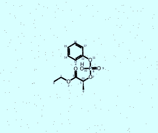 CCOC(=O)[C@H](C)OP(=O)(O)Oc1ccccc1